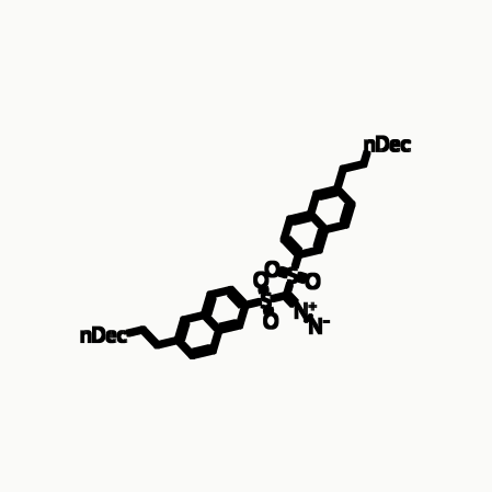 CCCCCCCCCCCCc1ccc2cc(S(=O)(=O)C(=[N+]=[N-])S(=O)(=O)c3ccc4cc(CCCCCCCCCCCC)ccc4c3)ccc2c1